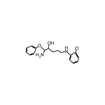 NC(Oc1ccccc1)C(O)CCCNc1ccccc1Cl